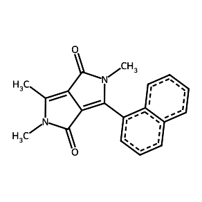 CC1=C2C(=O)N(C)C(c3cccc4ccccc34)=C2C(=O)N1C